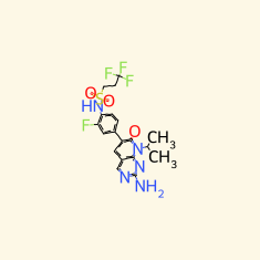 CC(C)n1c(=O)c(-c2ccc(NS(=O)(=O)CCC(F)(F)F)c(F)c2)cc2cnc(N)nc21